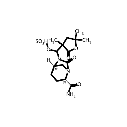 CC1(C)CC(C)(C(OS(=O)(=O)O)N2C(=O)N3C[C@H]2CC[C@H]3C(N)=O)C(=O)O1